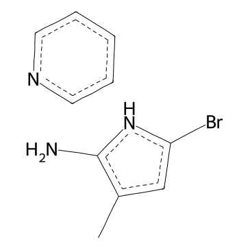 Cc1cc(Br)[nH]c1N.c1ccncc1